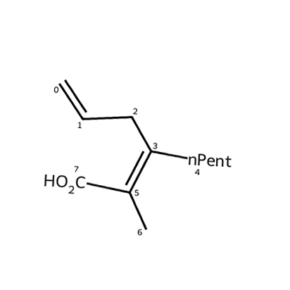 C=CCC(CCCCC)=C(C)C(=O)O